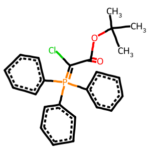 CC(C)(C)OC(=O)C(Cl)=P(c1ccccc1)(c1ccccc1)c1ccccc1